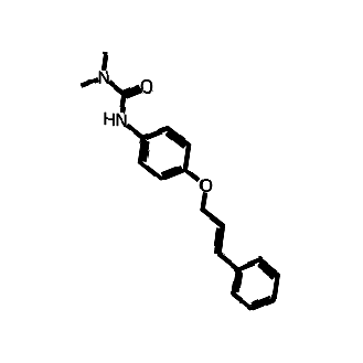 CN(C)C(=O)Nc1ccc(OCC=Cc2ccccc2)cc1